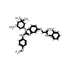 C[C@H]1C[C@H](n2c(Nc3ccc(OC(F)(F)F)cc3)nc3cc(OCC(=O)Nc4ccccc4Cl)ccc32)CC(C)(C)C1